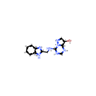 Brc1cnn2c(NCc3nc4ccccc4[nH]3)ncnc12